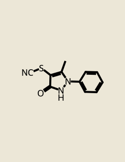 Cc1c(SC#N)c(=O)[nH]n1-c1ccccc1